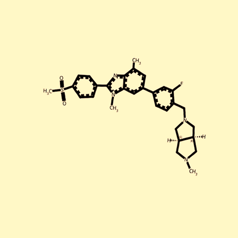 Cc1cc(-c2ccc(CN3C[C@H]4CN(C)C[C@H]4C3)c(F)c2)cc2c1nc(-c1ccc(S(C)(=O)=O)cc1)n2C